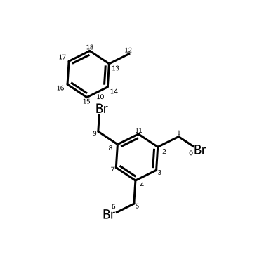 BrCc1cc(CBr)cc(CBr)c1.Cc1ccccc1